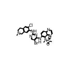 CN1CCc2cc(Cl)c(Nc3ncc(Br)c(Nc4ccc5nccnc5c4N(C)S(C)(=O)=O)n3)cc2C1